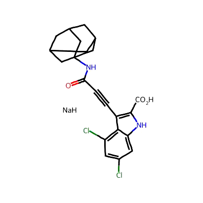 O=C(C#Cc1c(C(=O)O)[nH]c2cc(Cl)cc(Cl)c12)NC12CC3CC(CC(C3)C1)C2.[NaH]